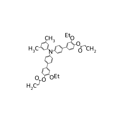 C=CC(=O)Oc1ccc(-c2ccc(N(c3ccc(-c4ccc(OC(=O)C=C)c(OCC)c4)cc3)c3cc(C)cc(C)c3)cc2)cc1OCC